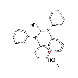 CCCC(P(c1ccccc1)c1ccccc1)P(c1ccccc1)c1ccccc1.Cl.[Ni]